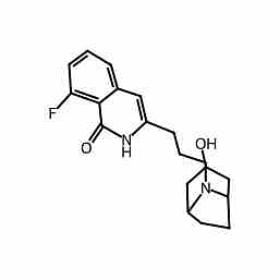 O=c1[nH]c(CCCN2C3CCC2CC(O)C3)cc2cccc(F)c12